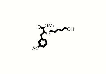 COC(=O)C(Cc1cccc(C(C)=O)c1)OCCCCCO